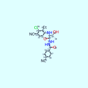 CCc1c(NC(C(=O)NNC(=O)c2ccc(C#N)cc2)[C@@H](C)O)ccc(C#N)c1Cl